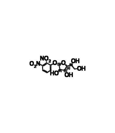 O=[N+]([O-])c1cccc(O[C@@H]2O[C@@H]([C@H](O)CO)[C@H](O)[C@H]2O)c1[N+](=O)[O-]